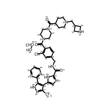 O=C(NCc1ccc(C(=O)N2CCN(C(=O)C3CCN(CC4CNC4)CC3)CC2)c(Cl)c1)c1ncc(-c2c(C(F)(F)F)n[nH]c2-c2ncccn2)[nH]1.O=CO